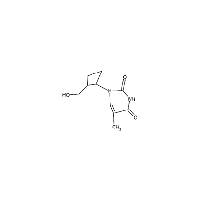 Cc1cn(C2CCC2CO)c(=O)[nH]c1=O